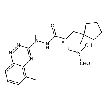 Cc1cccc2nnc(NNC(=O)[C@@H](CN(O)C=O)CC3(C)CCCC3)nc12